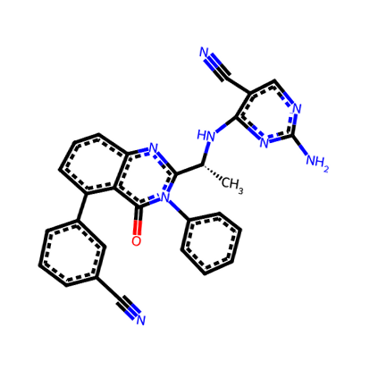 C[C@@H](Nc1nc(N)ncc1C#N)c1nc2cccc(-c3cccc(C#N)c3)c2c(=O)n1-c1ccccc1